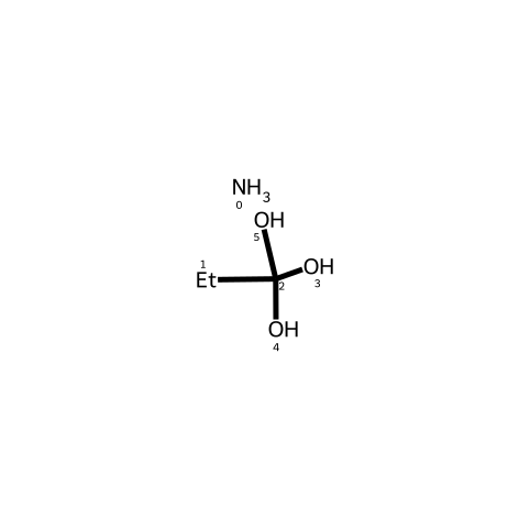 N.[CH2]CC(O)(O)O